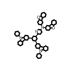 c1ccc(-n2c3ccccc3c3cc(-c4cc(-c5ccc6c(c5)c5ccccc5n6-c5ccccc5)cc(-c5ccc(N(c6ccc7oc8ccccc8c7c6)c6ccc7oc8ccccc8c7c6)cn5)c4)ccc32)cc1